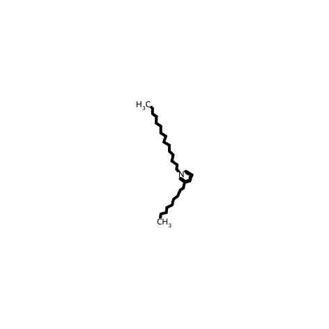 CCCCCCCCCCCCCCC[n+]1cccc(CCCCCCCCC)c1